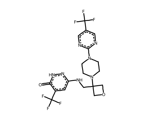 O=c1[nH]nc(NCC2(N3CCN(c4ncc(C(F)(F)F)cn4)CC3)COC2)cc1C(F)(F)F